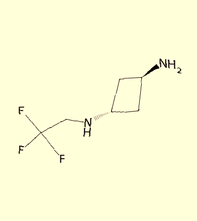 N[C@H]1C[C@H](NCC(F)(F)F)C1